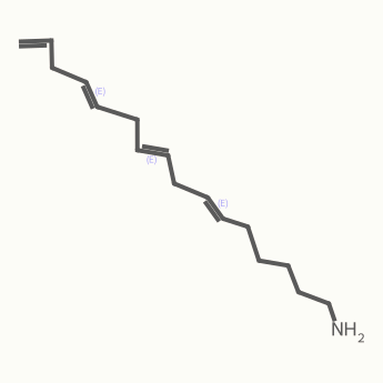 C=CC/C=C/C/C=C/C/C=C/CCCCCN